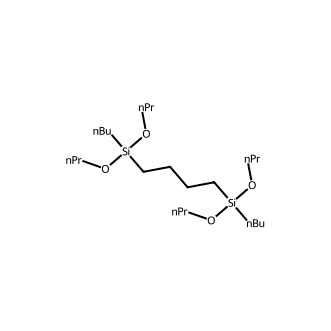 CCCC[Si](CCCC[Si](CCCC)(OCCC)OCCC)(OCCC)OCCC